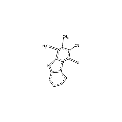 C=c1c(C)c(C#N)c(=O)n2c1nc1ccccc12